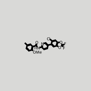 COc1ccc(C)cc1C(=O)Nc1ccc(-c2cc3c(cc2Cl)OC(F)(F)O3)cn1